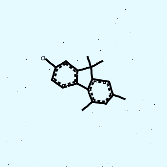 Cc1cc(C)c2c(c1)C(C)(C)c1cc(Cl)ccc1-2